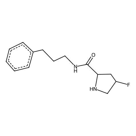 O=C(NCCCc1ccccc1)C1CC(F)CN1